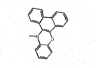 CN1c2ccccc2Oc2c1c1ccccc1c1ccccc21